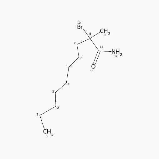 CCCCCCCCC(C)(Br)C(N)=O